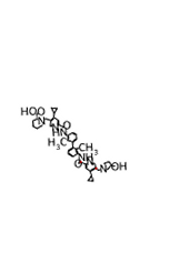 Cc1c(NC(=O)c2cc(C3CC3)c(CN3CC[C@@H](O)C3)cn2)cccc1-c1cccc(NC(=O)c2cc(C3CC3)c(CN3CCCC[C@H]3C(=O)O)cn2)c1C